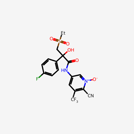 CCS(=O)(=O)CC(O)(C(=O)Nc1cc(C(F)(F)F)c(C#N)[n+]([O-])c1)c1ccc(F)cc1